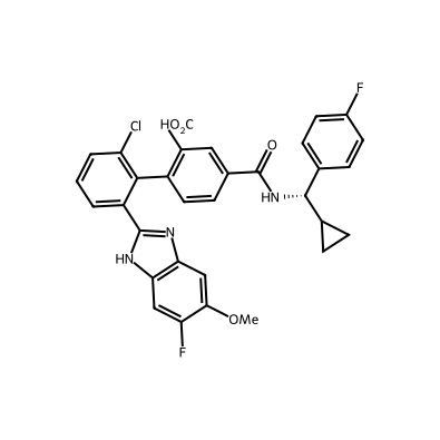 COc1cc2nc(-c3cccc(Cl)c3-c3ccc(C(=O)N[C@H](c4ccc(F)cc4)C4CC4)cc3C(=O)O)[nH]c2cc1F